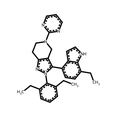 CCc1cccc(CC)c1-n1nc2c(c1-c1ccc(CC)c3[nH]ccc13)CN(c1ncccn1)CC2